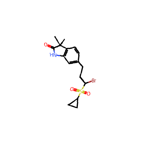 CC1(C)C(=O)Nc2cc(CCC(Br)S(=O)(=O)C3CC3)ccc21